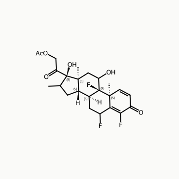 CC(=O)OCC(=O)[C@@]1(O)C(C)C[C@H]2[C@@H]3CC(F)C4=C(F)C(=O)C=C[C@]4(C)[C@@]3(F)C(O)C[C@@]21C